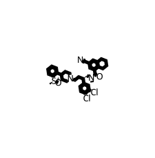 CN(C[C@@H](CCN1CCC(c2ccccc2[S@+](C)[O-])CC1)c1ccc(Cl)c(Cl)c1)C(=O)c1cc(C#N)cc2c1CCCC2